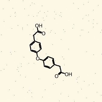 O=C(O)Cc1ccc(Oc2ccc(CC(=O)O)cc2)cc1